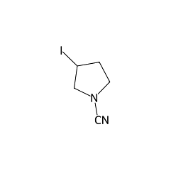 N#CN1CCC(I)C1